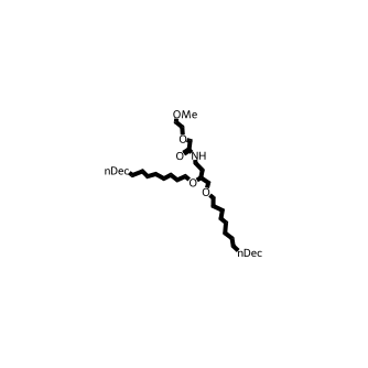 CCCCCCCCCCCCCCCCCCOCC(CCNC(=O)COCCOC)OCCCCCCCCCCCCCCCCCC